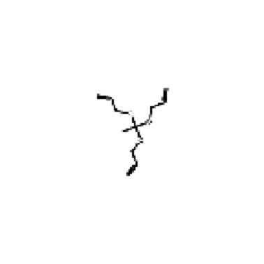 C=CCOC(C)(OCC=C)OCC=C